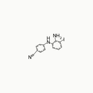 N#Cc1ccc(Nc2cccc(I)c2N)cc1